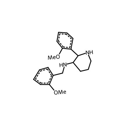 COc1ccccc1CNC1CCCNC1c1ccccc1OC